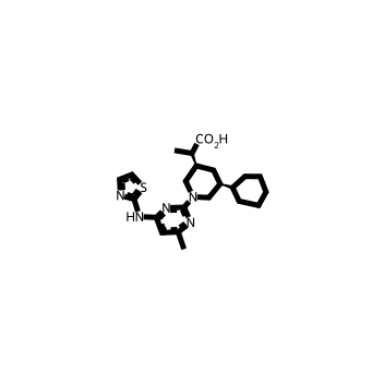 Cc1cc(Nc2nccs2)nc(N2C[C@H](C3CCCCC3)C[C@H](C(C)C(=O)O)C2)n1